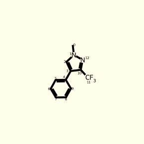 Cn1cc(-c2ccccc2)c(C(F)(F)F)n1